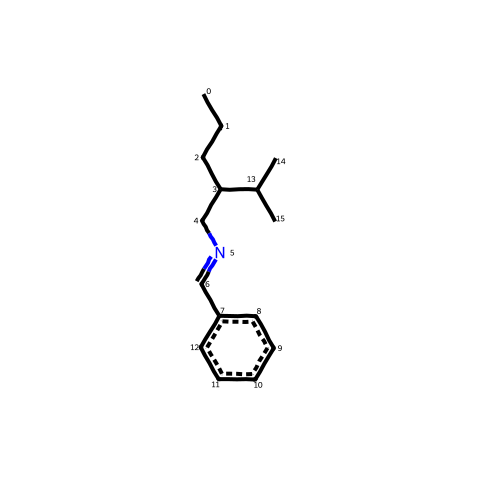 C[CH]CC(CN=Cc1ccccc1)C(C)C